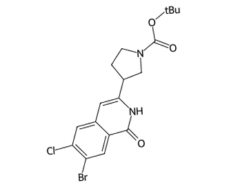 CC(C)(C)OC(=O)N1CCC(c2cc3cc(Cl)c(Br)cc3c(=O)[nH]2)C1